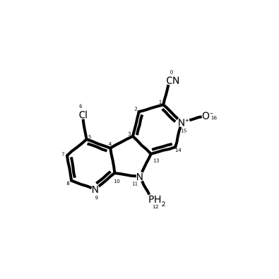 N#Cc1cc2c3c(Cl)ccnc3n(P)c2c[n+]1[O-]